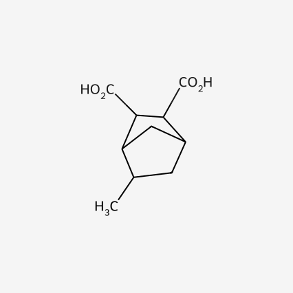 CC1CC2CC1C(C(=O)O)C2C(=O)O